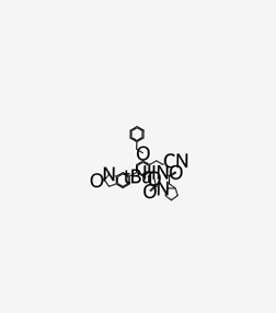 CN1C(=O)Cc2ccc(-c3ccc(CC(C#N)NC(=O)C4C5CCC(C5)N4C(=O)OC(C)(C)C)c(OCc4ccccc4)c3)cc21